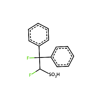 O=S(=O)(O)C(F)C(F)(c1ccccc1)c1ccccc1